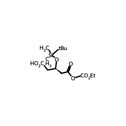 CCOC(=O)OC(=O)C[C@@H](CC(=O)O)O[Si](C)(C)C(C)(C)C